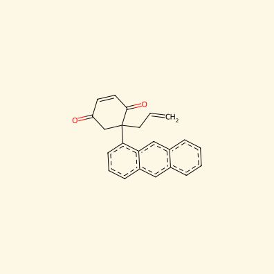 C=CCC1(c2cccc3cc4ccccc4cc23)CC(=O)C=CC1=O